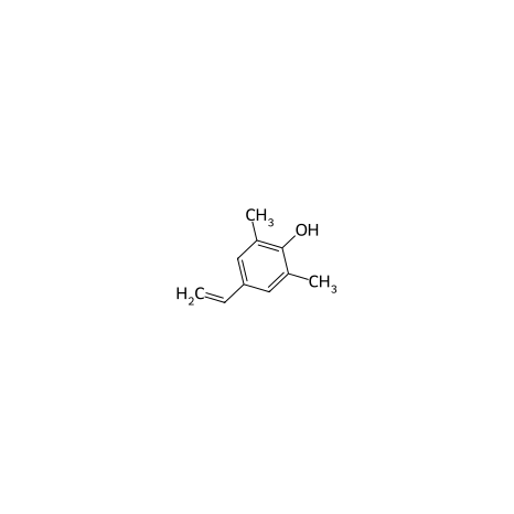 C=Cc1cc(C)c(O)c(C)c1